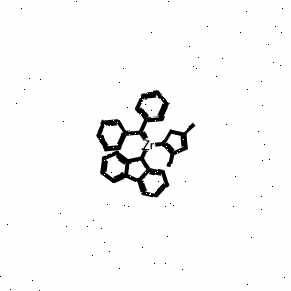 CC1=CC(C)=[C]([Zr](=[C](c2ccccc2)c2ccccc2)[CH]2c3ccccc3-c3ccccc32)C1